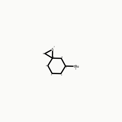 CC(C)(C)C1CCCC2(CS2)C1